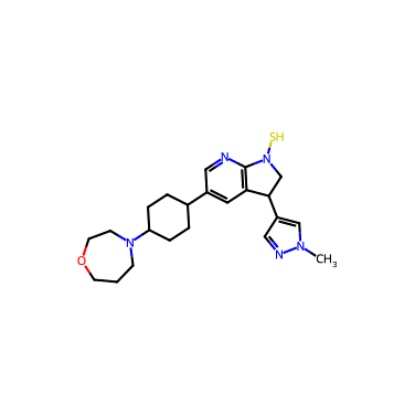 Cn1cc(C2CN(S)c3ncc(C4CCC(N5CCCOCC5)CC4)cc32)cn1